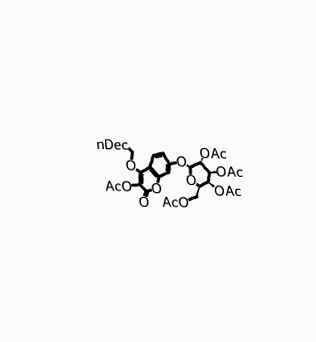 CCCCCCCCCCCOc1c(OC(C)=O)c(=O)oc2cc(O[C@@H]3O[C@H](COC(C)=O)[C@H](OC(C)=O)[C@H](OC(C)=O)[C@H]3OC(C)=O)ccc12